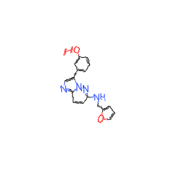 Oc1cccc(-c2cnc3ccc(NCc4ccco4)nn23)c1